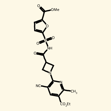 CCOC(=O)c1cc(C#N)c(N2CC(C(=O)NS(=O)(=O)c3ccc(C(=O)OC)o3)C2)nc1C